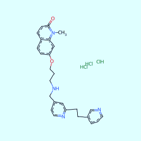 Cl.Cl.Cl.Cn1c(=O)ccc2ccc(OCCCNCc3ccnc(CCc4cccnc4)c3)cc21